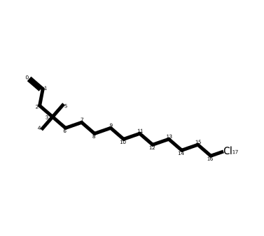 C=CCC(C)(C)CCCCCCCCCCCCl